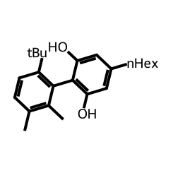 CCCCCCc1cc(O)c(-c2c(C(C)(C)C)ccc(C)c2C)c(O)c1